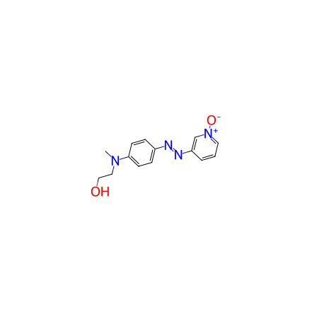 CN(CCO)c1ccc(N=Nc2ccc[n+]([O-])c2)cc1